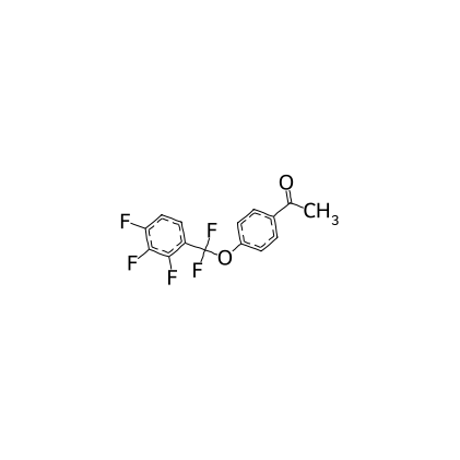 CC(=O)c1ccc(OC(F)(F)c2ccc(F)c(F)c2F)cc1